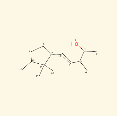 CC(O)C(C)C=CC1CCC(C)C1(C)C